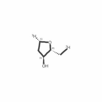 [2H]C[C@H]1O[C@@H]([3H])C[C@@H]1O